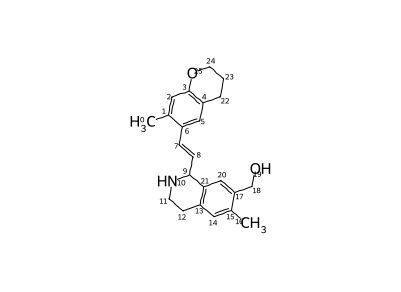 Cc1cc2c(cc1/C=C/C1NCCc3cc(C)c(CO)cc31)CCCO2